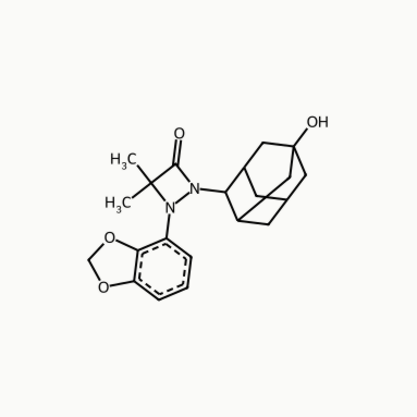 CC1(C)C(=O)N(C2C3CC4CC2CC(O)(C4)C3)N1c1cccc2c1OCO2